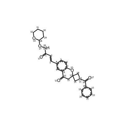 O=C(C=Cc1ccc2c(c1)C(=O)CC1(CN(C(=O)c3ccccc3)C1)O2)NOC1CCCCO1